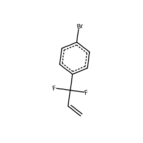 C=CC(F)(F)c1ccc(Br)cc1